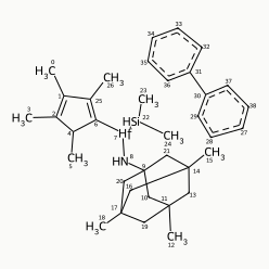 CC1=C(C)C(C)[C]([Hf]([NH]C23CC4(C)CC(C)(CC(C)(C4)C2)C3)[SiH](C)C)=C1C.c1ccc(-c2ccccc2)cc1